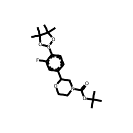 CC(C)(C)OC(=O)N1CCOC(c2ccc(B3OC(C)(C)C(C)(C)O3)c(F)c2)C1